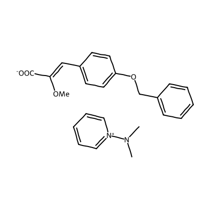 CN(C)[n+]1ccccc1.CO/C(=C\c1ccc(OCc2ccccc2)cc1)C(=O)[O-]